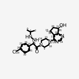 CC(C)NN[C@@H](C(=O)N1CCN(c2ncnc3c2[C@H](C)C[C@H]3O)CC1)c1ccc(Cl)cc1